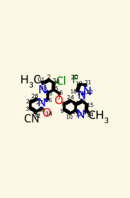 Cc1cc(Cl)c(COc2ccc3nc(C)cc(-n4cc(F)cn4)c3c2)c(Cn2cccc(C#N)c2=O)n1